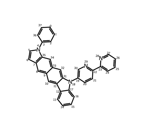 c1ccc(-n2ccc3cc4cc5c6ccccc6n(-c6ccc(-c7ccccn7)nc6)c5cc4cc32)cc1